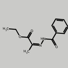 CCOC(=O)/C(C)=N\NC(=O)c1ccccc1